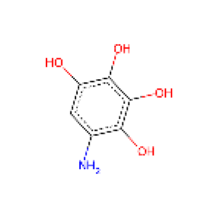 Nc1cc(O)c(O)c(O)c1O